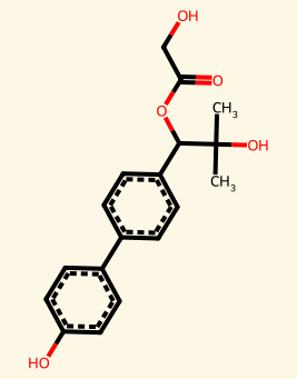 CC(C)(O)C(OC(=O)CO)c1ccc(-c2ccc(O)cc2)cc1